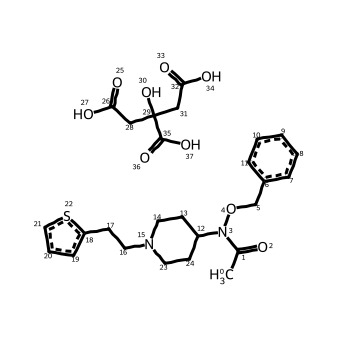 CC(=O)N(OCc1ccccc1)C1CCN(CCc2cccs2)CC1.O=C(O)CC(O)(CC(=O)O)C(=O)O